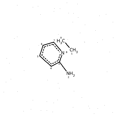 CC.Nc1ccccn1